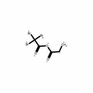 C[CH]C(=O)OC(=O)C(Br)(Br)Br